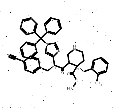 COC(=O)[C@]1(Cc2ccccc2C)CCNCC1C(=O)[C@@H](Cc1ccc(C#N)cc1)c1cn(C(c2ccccc2)(c2ccccc2)c2ccccc2)cn1